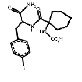 NC(=O)C(Cc1ccc(I)cc1)NC(=O)C1(NC(=O)O)CCCCC1